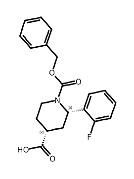 O=C(O)[C@@H]1CCN(C(=O)OCc2ccccc2)[C@H](c2ccccc2F)C1